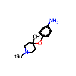 CC1(Oc2ccc(N)cc2)CCN(C(C)(C)C)CC1